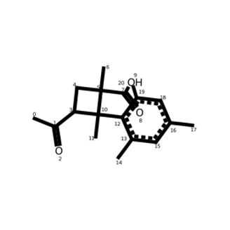 CC(=O)C1CC(C)(C(=O)O)C1(C)c1c(C)cc(C)cc1C